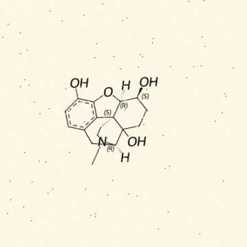 CN1CC[C@]23c4c5ccc(O)c4O[C@H]2[C@@H](O)CCC3(O)[C@H]1C5